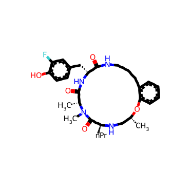 CCC[C@@H]1NC[C@@H](C)Oc2ccccc2CCCNC(=O)[C@@H](Cc2ccc(O)c(F)c2)NC(=O)[C@@H](C)N(C)C1=O